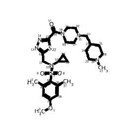 COc1cc(C)c(S(=O)(=O)N(Cc2nnc(C(=O)N3CCN(CC4CCN(C)CC4)CC3)s2)C2CC2)c(C)c1